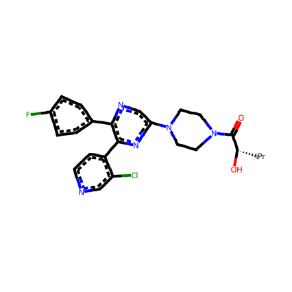 CC(C)[C@H](O)C(=O)N1CCN(c2cnc(-c3ccc(F)cc3)c(-c3ccncc3Cl)n2)CC1